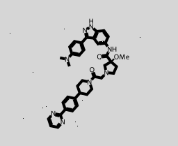 CO[C@@]1(C(=O)Nc2ccc3[nH]nc(-c4ccc(N(C)C)cc4)c3c2)CCN(CC(=O)N2CCC(c3ccc(-c4ncccn4)cc3)CC2)C1